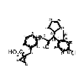 O=C(Nc1cccc(CC2(C(=O)O)CC2)c1)C(c1ccc(Cl)cc1F)C1CCCC1